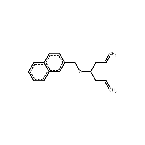 C=CCC(CC=C)OCc1ccc2ccccc2c1